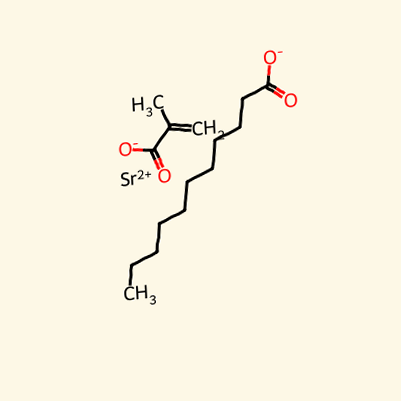 C=C(C)C(=O)[O-].CCCCCCCCCCC(=O)[O-].[Sr+2]